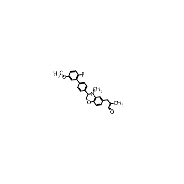 COc1ccc(F)c(-c2ccc(C3COc4ccc(CC(C)C=O)cc4N3C)cc2)c1